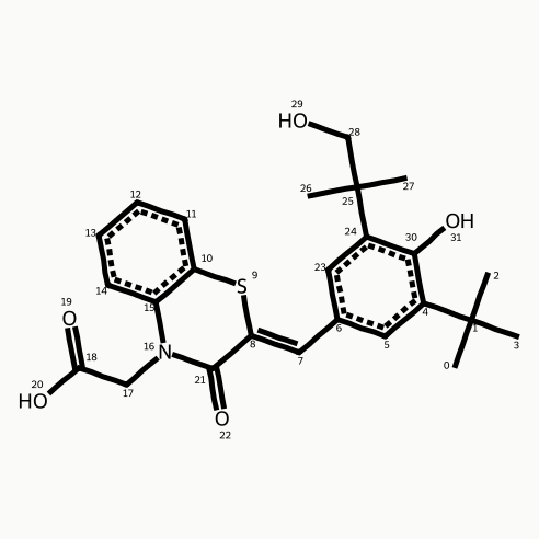 CC(C)(C)c1cc(C=C2Sc3ccccc3N(CC(=O)O)C2=O)cc(C(C)(C)CO)c1O